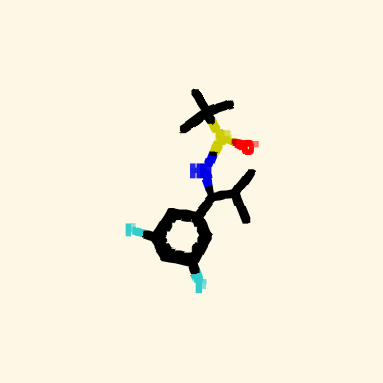 CC(C)[C@H](N[S@+]([O-])C(C)(C)C)c1cc(F)cc(F)c1